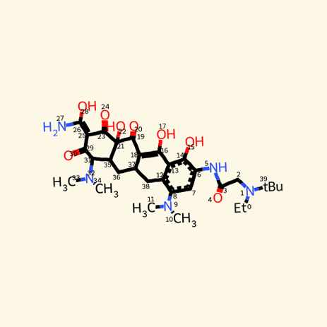 CCN(CC(=O)Nc1cc(N(C)C)c2c(c1O)C(O)=C1C(=O)C3(O)C(=O)/C(=C(/N)O)C(=O)C(N(C)C)C3CC1C2)C(C)(C)C